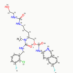 CN(C(=O)NCc1cccc(F)c1Cl)C(CCCNC(=O)NCCO)COC(=O)Nc1cc2cc(F)ccc2cn1